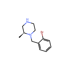 C[C@H]1CNCCN1Cc1ccccc1Br